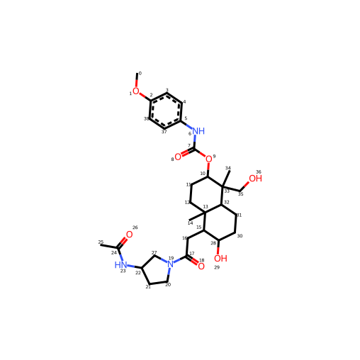 COc1ccc(NC(=O)OC2CCC3(C)C(CC(=O)N4CCC(NC(C)=O)C4)C(O)CCC3C2(C)CO)cc1